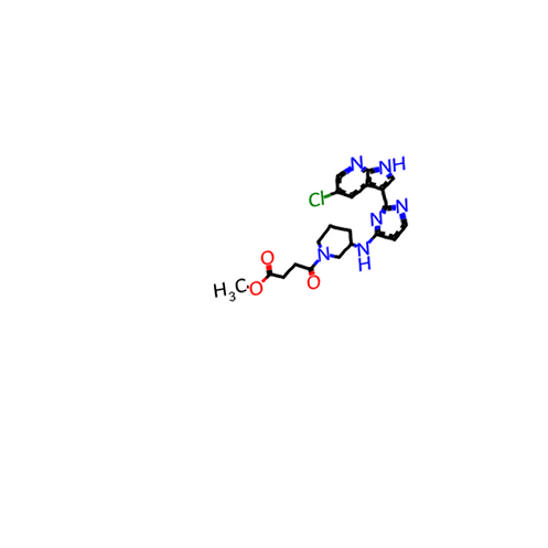 COC(=O)CCC(=O)N1CCCC(Nc2ccnc(-c3c[nH]c4ncc(Cl)cc34)n2)C1